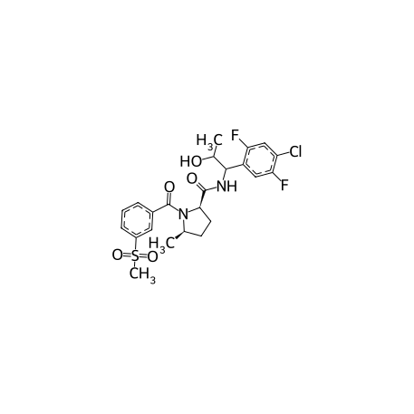 CC(O)C(NC(=O)[C@H]1CC[C@@H](C)N1C(=O)c1cccc(S(C)(=O)=O)c1)c1cc(F)c(Cl)cc1F